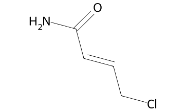 NC(=O)C=CCCl